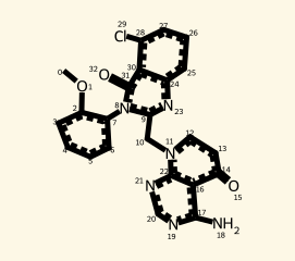 COc1ccccc1-n1c(Cn2ccc(=O)c3c(N)ncnc32)nc2cccc(Cl)c2c1=O